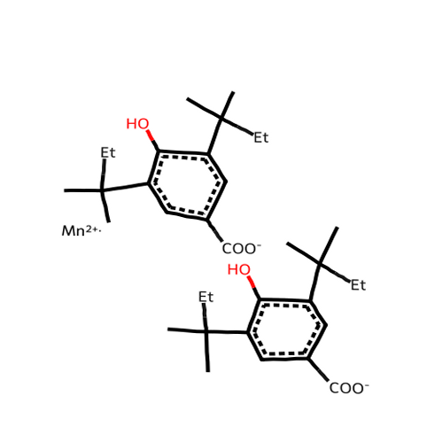 CCC(C)(C)c1cc(C(=O)[O-])cc(C(C)(C)CC)c1O.CCC(C)(C)c1cc(C(=O)[O-])cc(C(C)(C)CC)c1O.[Mn+2]